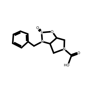 O=C(O)N1CC2OS(=O)N(Cc3ccccc3)C2C1